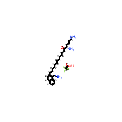 NCCCC[C@H](N)C(=O)CCCCCCCCCCCCc1ccc2ccccc2c1CN.O=C(O)C(F)(F)F